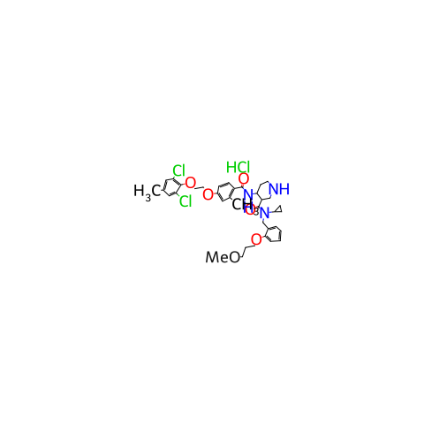 COCCCOc1ccccc1CN(C(=O)C1CNCCC1NC(=O)c1ccc(OCCOc2c(Cl)cc(C)cc2Cl)cc1C)C1CC1.Cl